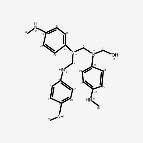 CNc1ccc(NCN(CN(CO)c2ccc(NC)cc2)c2ccc(NC)cc2)cc1